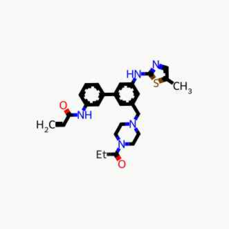 C=CC(=O)Nc1cccc(-c2cc(CN3CCN(C(=O)CC)CC3)cc(Nc3ncc(C)s3)c2)c1